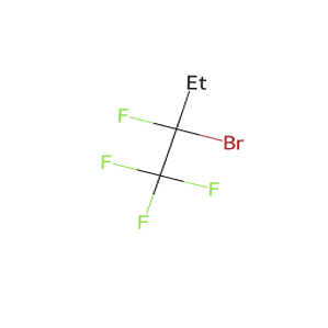 CCC(F)(Br)C(F)(F)F